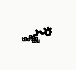 CC(C=CC1=C(C)C(C)(C)CCC1)=CCP(=O)(OC(C)(C)C)C(C)(C)C